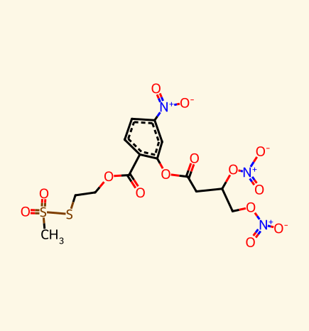 CS(=O)(=O)SCCOC(=O)c1ccc([N+](=O)[O-])cc1OC(=O)CC(CO[N+](=O)[O-])O[N+](=O)[O-]